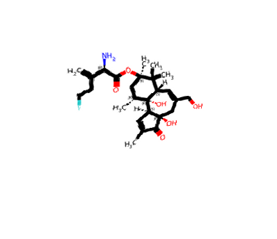 C=C(CCF)[C@@H](N)C(=O)O[C@]1(C)C[C@@H](C)[C@@]2(O)[C@@H](C=C(CO)C[C@]3(O)C(=O)C(C)=C[C@@H]23)C1(C)C